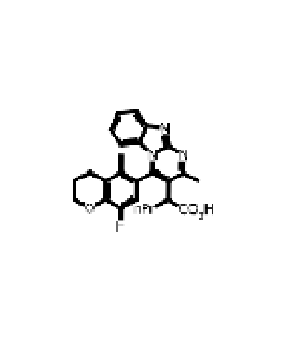 CCCC(C(=O)O)c1c(C)nc2nc3ccccc3n2c1-c1cc(F)c2c(c1C)CCCO2